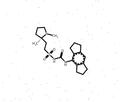 CN1CCC[C@]1(C)CCS(=O)(=O)NC(=O)Nc1c2c(cc3c1CCC3)CCC2